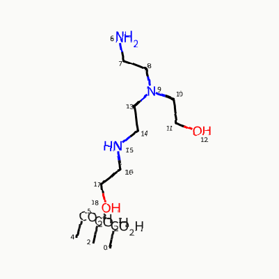 CC(=O)O.CC(=O)O.CC(=O)O.NCCN(CCO)CCNCCO